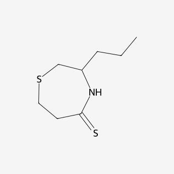 CCCC1CSCCC(=S)N1